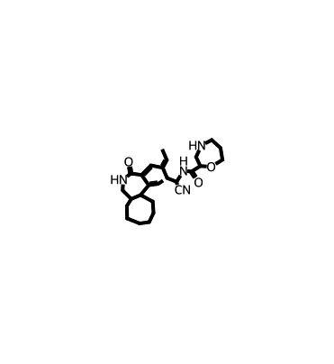 C\C=C(/C=C1/C(=O)NCC2CCCCCCC2/C1=C/C)CC(C#N)NC(=O)C1CNCCCO1